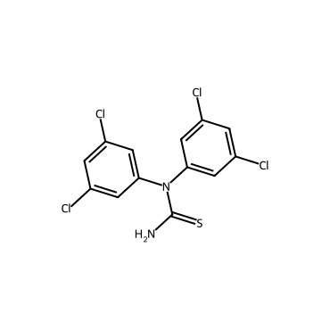 NC(=S)N(c1cc(Cl)cc(Cl)c1)c1cc(Cl)cc(Cl)c1